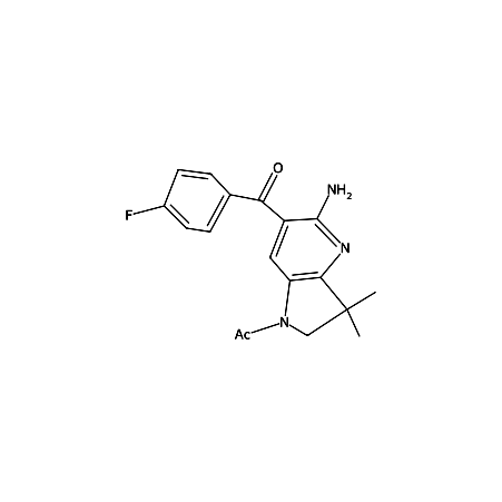 CC(=O)N1CC(C)(C)c2nc(N)c(C(=O)c3ccc(F)cc3)cc21